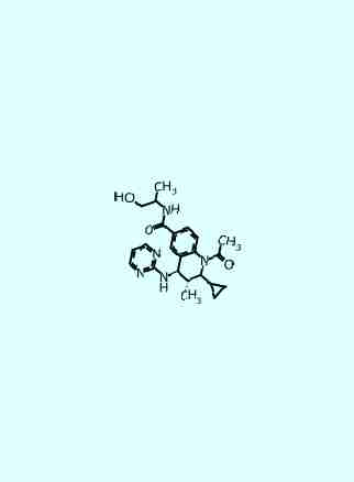 CC(=O)N1c2ccc(C(=O)NC(C)CO)cc2[C@H](Nc2ncccn2)[C@@H](C)C1C1CC1